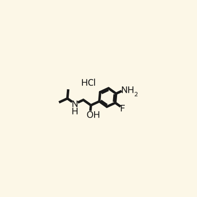 CC(C)NCC(O)c1ccc(N)c(F)c1.Cl